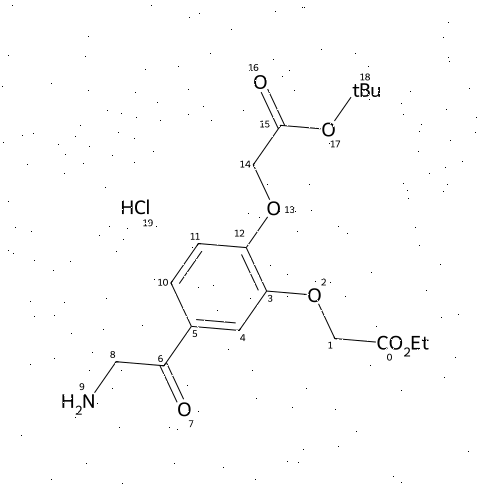 CCOC(=O)COc1cc(C(=O)CN)ccc1OCC(=O)OC(C)(C)C.Cl